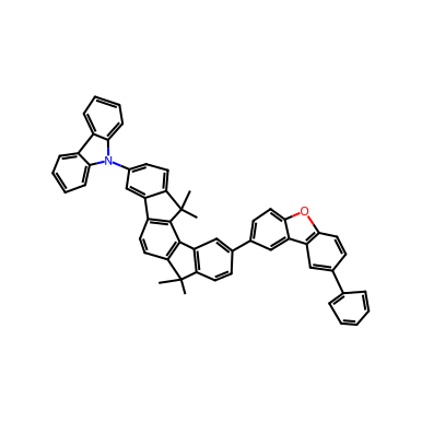 CC1(C)c2ccc(-c3ccc4oc5ccc(-c6ccccc6)cc5c4c3)cc2-c2c1ccc1c2C(C)(C)c2ccc(-n3c4ccccc4c4ccccc43)cc2-1